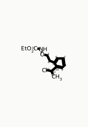 CCOC(=O)NOCCc1ccccc1C(C)Cl